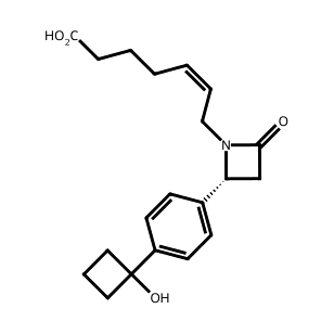 O=C(O)CCC/C=C\CN1C(=O)C[C@@H]1c1ccc(C2(O)CCC2)cc1